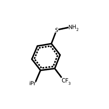 CC(C)c1ccc(SN)cc1C(F)(F)F